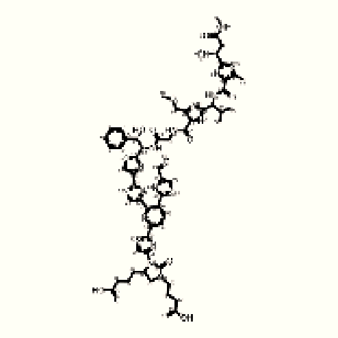 CNC(=O)C[C@H](N)c1nc(C(=O)NC(c2nc(C(=O)NCC(=O)N[C@H](c3nc(-c4nc(-c5nc(-c6nc(N7C(=O)N(CCCC(=O)O)CC7CCCC(=O)O)cs6)ccc5-c5nc(C=O)cs5)cs4)cs3)[C@@H](O)c3ccccc3)c(COC)s2)C(C)C)c(C)s1